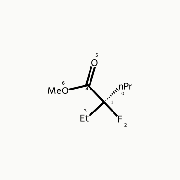 CCC[C@](F)(CC)C(=O)OC